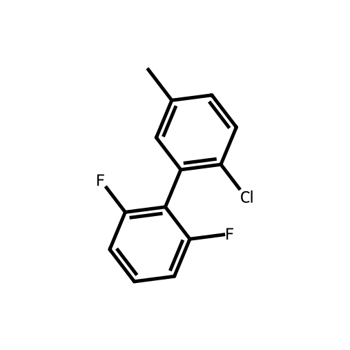 Cc1ccc(Cl)c(-c2c(F)cccc2F)c1